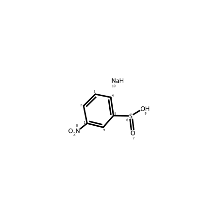 O=[N+]([O-])c1cccc(S(=O)O)c1.[NaH]